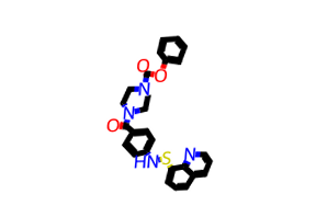 O=C(Oc1ccccc1)N1CCN(C(=O)c2ccc(NSc3cccc4cccnc34)cc2)CC1